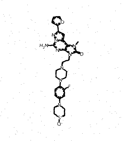 Cn1c(=O)n(CCN2CCN(c3ccc(N4CC[S+]([O-])CC4)cc3F)CC2)c2nc(N)n3nc(-c4ccco4)cc3c21